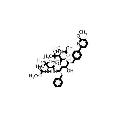 COC(=O)N[C@H](C(=O)N[C@@H](Cc1ccccc1)C[C@H](O)[C@H](Cc1ccc(-c2cccc(OC)n2)cc1)NC(=O)[C@@H](N(C)C(=O)O)C(C)(C)C)C(C)(C)C